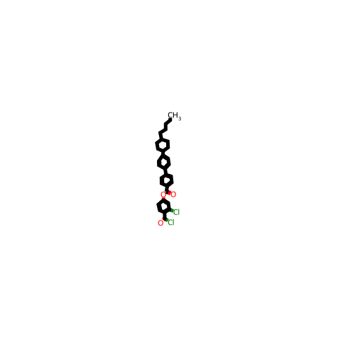 CCCCCC1CCC(c2ccc(-c3ccc(C(=O)Oc4ccc(C(=O)Cl)c(Cl)c4)cc3)cc2)CC1